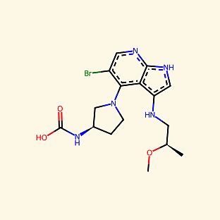 CO[C@H](C)CNc1c[nH]c2ncc(Br)c(N3CC[C@@H](NC(=O)O)C3)c12